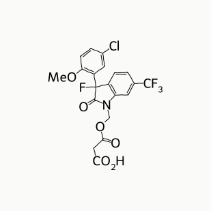 COc1ccc(Cl)cc1C1(F)C(=O)N(COC(=O)CC(=O)O)c2cc(C(F)(F)F)ccc21